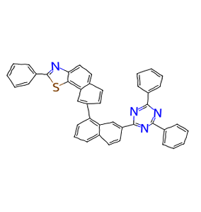 c1ccc(-c2nc(-c3ccccc3)nc(-c3ccc4cccc(-c5ccc6ccc7nc(-c8ccccc8)sc7c6c5)c4c3)n2)cc1